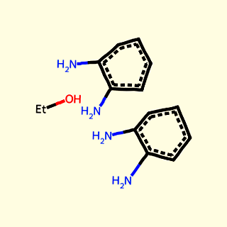 CCO.Nc1ccccc1N.Nc1ccccc1N